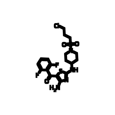 Nc1nc(NC2CCN(S(=O)(=O)CCCCl)CC2)sc1C(=O)c1c(F)cccc1F